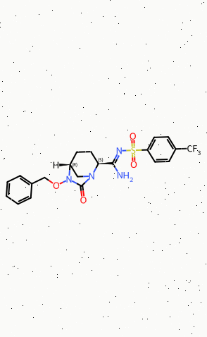 NC(=NS(=O)(=O)c1ccc(C(F)(F)F)cc1)[C@@H]1CC[C@@H]2CN1C(=O)N2OCc1ccccc1